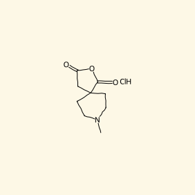 CN1CCC2(CC1)CC(=O)OC2=O.Cl